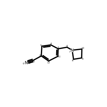 N#Cc1ccc(CN2CCC2)cc1